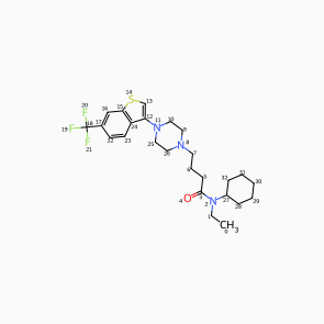 CCN(C(=O)CCCN1CCN(c2csc3cc(C(F)(F)F)ccc23)CC1)C1CCCCC1